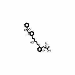 CC(C)(Cc1ccccc1OCC[C@@H](O)/C=C/c1cccc(NS(=O)(=O)c2ccccc2)c1)C(=O)O